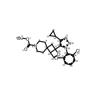 CC(C)(C)OC(=O)N1CCC2(CC1)CC1(c3c(C4CC4)nnn3-c3c(Cl)cccc3Cl)OCC21